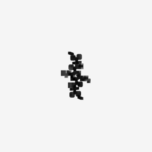 CCOC(=O)C(C)(C)NC(=O)c1nc(N)c(C(=O)NC(C)(C)C(=O)OCC)nc1N